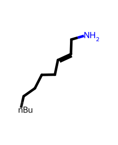 CCCCCCCCC=CCN